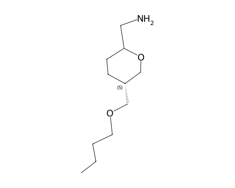 CCCCOC[C@@H]1CCC(CN)OC1